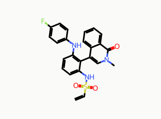 C=CS(=O)(=O)Nc1cccc(Nc2ccc(F)cc2)c1-c1cn(C)c(=O)c2ccccc12